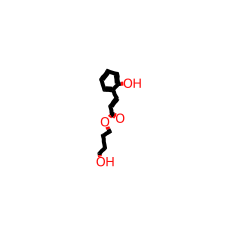 O=C(C=Cc1ccccc1O)OCCCCO